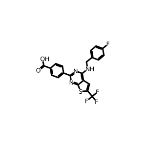 O=C(O)c1ccc(-c2nc(NCc3ccc(F)cc3)c3cc(C(F)(F)F)sc3n2)cc1